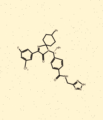 CCC[C@H](c1ccc(C(=O)NCc2nn[nH]n2)cc1)N1C(=O)C(c2cc(F)cc(C(F)(F)F)c2)=NC12CCC(C(C)C)CC2